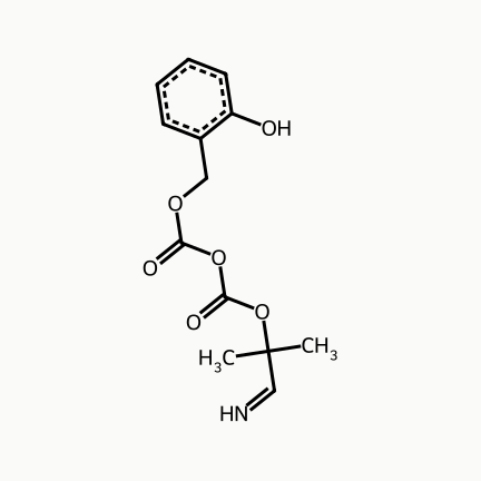 CC(C)(C=N)OC(=O)OC(=O)OCc1ccccc1O